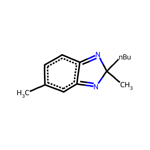 CCCCC1(C)N=c2ccc(C)cc2=N1